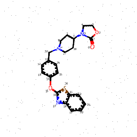 O=C1OCCN1C1CCN(Cc2ccc(Oc3nc4ccccc4s3)cc2)CC1